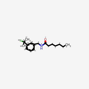 CCCCCCC(=O)NCc1cccc(C(C)(C)F)c1